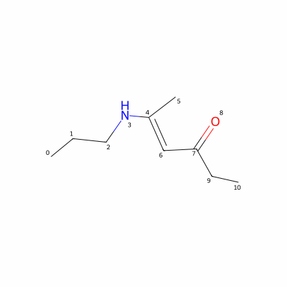 CCCNC(C)=CC(=O)CC